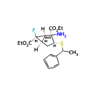 CCOC(=O)[C@@]1(N)[C@H]2[C@@H](C[C@H]1SC(C)c1ccccc1)[C@]2(F)C(=O)OCC